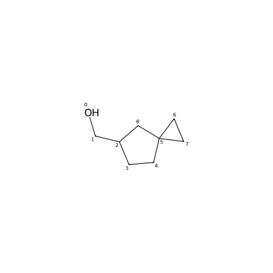 OCC1CCC2(CC2)C1